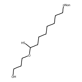 CCCCCCCCCCCCCCCCC(S)OCCCO